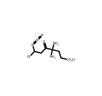 CCC(CC(=O)C(N)(N)CCC(=O)O)N=[N+]=[N-]